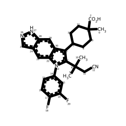 CC1(C(=O)O)CCC(c2c(C(C)(C)CC#N)n(-c3ccc(F)c(F)c3)c3cc4cn[nH]c4cc23)CC1